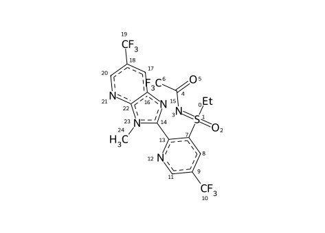 CCS(=O)(=NC(=O)C(F)(F)F)c1cc(C(F)(F)F)cnc1-c1nc2cc(C(F)(F)F)cnc2n1C